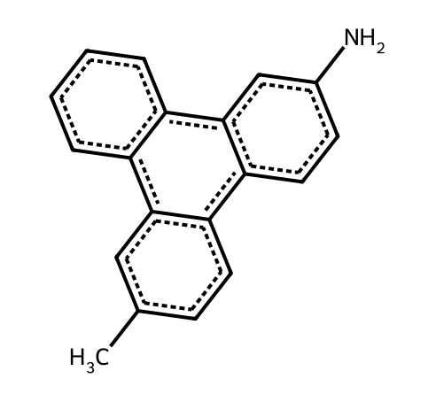 Cc1ccc2c3ccc(N)cc3c3ccccc3c2c1